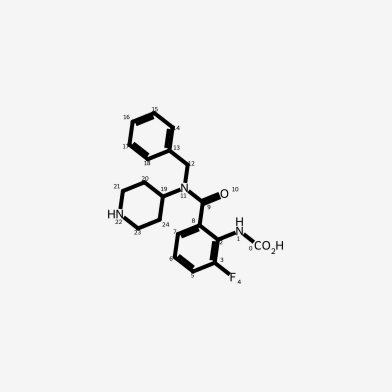 O=C(O)Nc1c(F)cccc1C(=O)N(Cc1ccccc1)C1CCNCC1